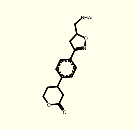 CC(=O)NCC1CC(c2ccc(C3CCOC(=O)C3)cc2)=NO1